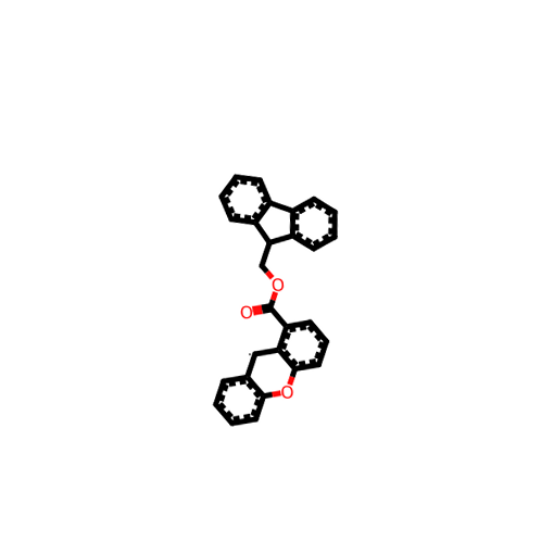 O=C(OCC1c2ccccc2-c2ccccc21)c1cccc2c1[CH]c1ccccc1O2